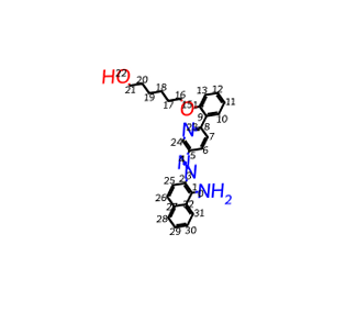 Nc1c(N=Nc2ccc(-c3ccccc3OCCCCCCO)nc2)ccc2ccccc12